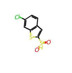 O=[SH](=O)c1cc2ccc(Cl)cc2s1